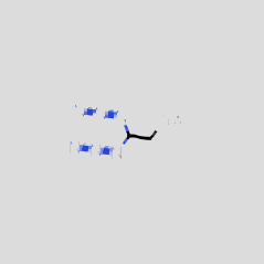 CC(=O)OCC(N=[N+]=[N-])N=[N+]=[N-]